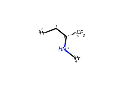 CC(C)C[C@@H](NC(C)C)C(F)(F)F